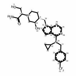 NC(=O)[C@@H](CO)N1CC[C@H](Cn2ccc3c(N(Cc4ccc(C(F)(F)F)cc4)C4CC4)ncnc32)[C@@H](O)C1